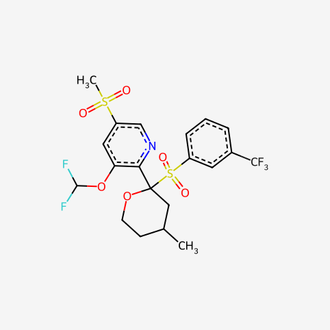 CC1CCOC(c2ncc(S(C)(=O)=O)cc2OC(F)F)(S(=O)(=O)c2cccc(C(F)(F)F)c2)C1